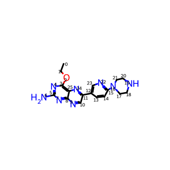 CCOc1nc(N)nc2ncc(-c3ccc(N4CCNCC4)nc3)nc12